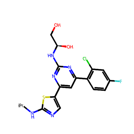 CC(C)Nc1ncc(-c2cc(-c3ccc(F)cc3Cl)nc(N[C@H](O)CO)n2)s1